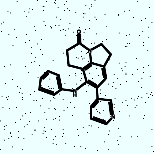 O=C1CCc2c(Nc3ccccc3)c(-c3cccnc3)cc3c2N1CC3